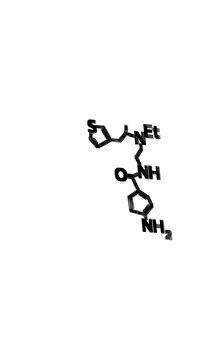 CCN(CCNC(=O)c1ccc(N)cc1)C(C)Cc1ccsc1